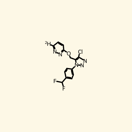 [2H]c1ccc(OCc2c(Cl)nnn2-c2ccc(C(F)F)cc2)nn1